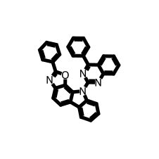 c1ccc(-c2nc3ccc4c5ccccc5n(-c5nc(-c6ccccc6)c6ccccc6n5)c4c3o2)cc1